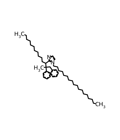 CCCCCCCCCCCCCCCCCCn1ccnc1C(CCCCCCCCCCC)C(C)(Cc1ccccc1)c1ccccc1